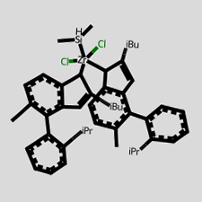 CCC(C)C1=Cc2c(ccc(C)c2-c2ccccc2C(C)C)[CH]1[Zr]([Cl])([Cl])([CH]1C(C(C)CC)=Cc2c1ccc(C)c2-c1ccccc1C(C)C)[SiH](C)C